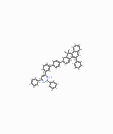 CC1(C)c2cc(-c3ccc(-c4cccc(C5=CC(c6ccccc6)=NC(c6ccccc6)N5)c4)cc3)ccc2-c2c(-c3ccccc3)cc3ccccc3c21